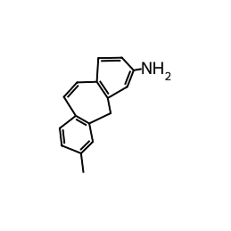 Cc1ccc2c(c1)Cc1cc(N)ccc1C=C2